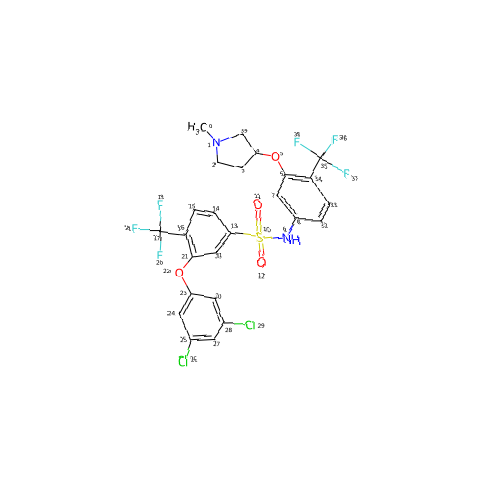 CN1CCC(Oc2cc(NS(=O)(=O)c3ccc(C(F)(F)F)c(Oc4cc(Cl)cc(Cl)c4)c3)ccc2C(F)(F)F)C1